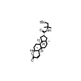 CC(C)(C)CC(C)(C)NC(=O)[C@H]1C[C@H]2[C@@H]3CC[C@H]4OC(=O)C=C[C@]4(C)[C@H]3CC[C@]2(C)C1